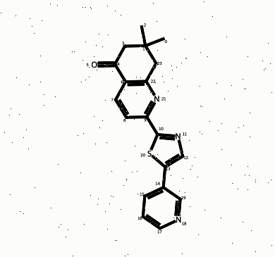 CC1(C)CC(=O)c2ccc(-c3ncc(-c4cccnc4)s3)nc2C1